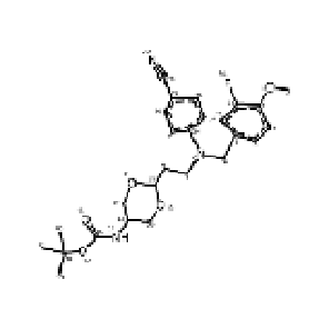 COc1ccc(CN(CCC2OCC(NC(=O)OC(C)(C)C)CO2)c2ccc(C#N)cc2)cc1F